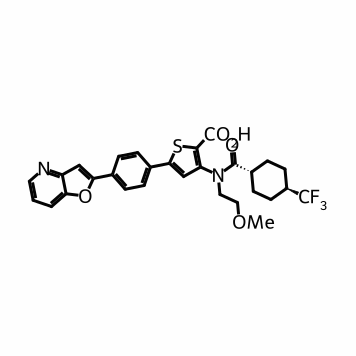 COCCN(c1cc(-c2ccc(-c3cc4ncccc4o3)cc2)sc1C(=O)O)C(=O)[C@H]1CC[C@H](C(F)(F)F)CC1